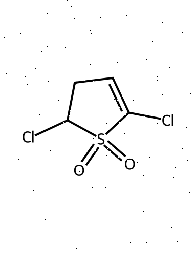 O=S1(=O)C(Cl)=CCC1Cl